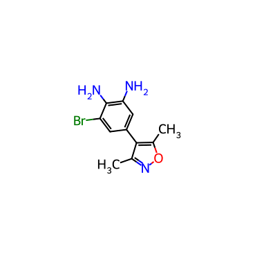 Cc1noc(C)c1-c1cc(N)c(N)c(Br)c1